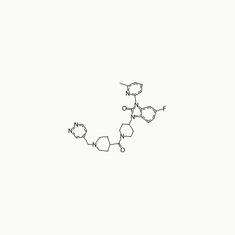 Cc1cccc(-n2c(=O)n(C3CCN(C(=O)C4CCN(Cc5ccnnc5)CC4)CC3)c3ccc(F)cc32)n1